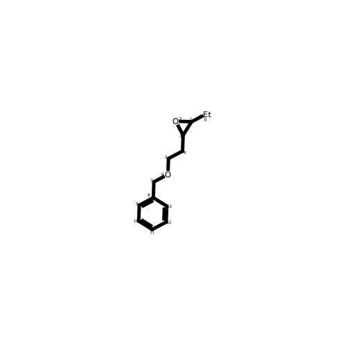 CCC1OC1CCOCc1ccccc1